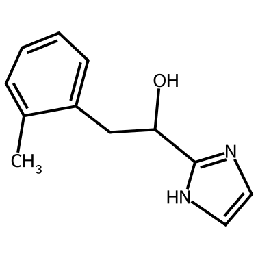 Cc1ccccc1CC(O)c1ncc[nH]1